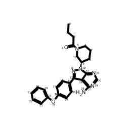 CCCC(=O)N1CCC[C@@H](n2nc(-c3ccc(Oc4ccccc4)cc3)c3c(N)ncnc32)C1